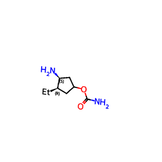 CC[C@@H]1CC(OC(N)=O)C[C@@H]1N